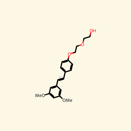 COc1cc(/C=C/c2ccc(OCCOCCO)cc2)cc(OC)c1